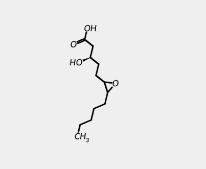 CCCCCC1OC1CC[C@@H](O)CC(=O)O